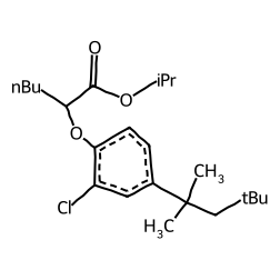 CCCCC(Oc1ccc(C(C)(C)CC(C)(C)C)cc1Cl)C(=O)OC(C)C